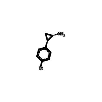 CCc1ccc([C@H]2C[C@@H]2N)cc1